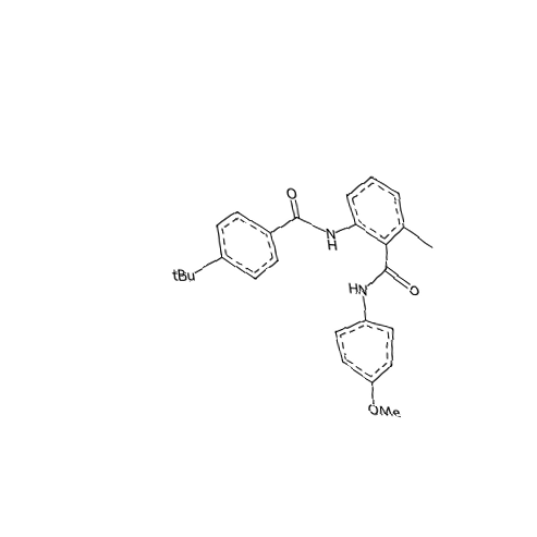 COc1ccc(NC(=O)c2c(C)cccc2NC(=O)c2ccc(C(C)(C)C)cc2)cc1